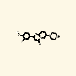 CCOc1ccc(-c2cc(=O)n3cc(N4CCNCC4)ccc3n2)cc1F